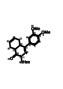 CCCCCCN1N=C(c2ccc(OC)c(OC)c2)C2CC=CCC2C1=O